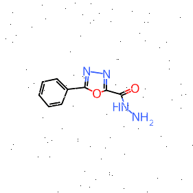 NNC(=O)c1nnc(-c2ccccc2)o1